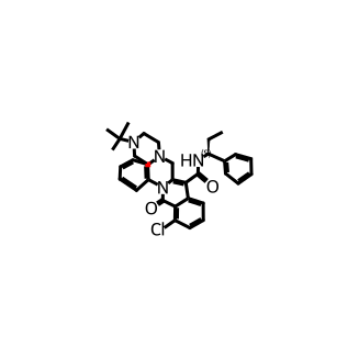 CC[C@H](NC(=O)c1c(CN2CCN(C(C)(C)C)CC2)n(-c2ccccc2)c(=O)c2c(Cl)cccc12)c1ccccc1